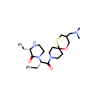 CC(C)C[C@@H]1NCCN([C@@H](CC(C)C)C(=O)N2CCC3(CC2)OCC(CN(C)C)CS3)C1=O